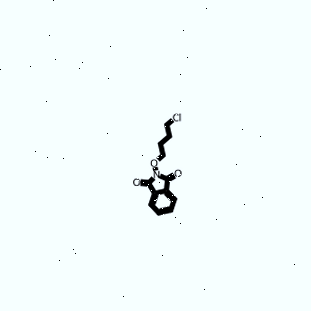 O=C1c2ccccc2C(=O)N1OCCCCCl